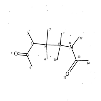 CC(=O)C(C)C(C)(C)C(C)(C)N(C)C(C)=O